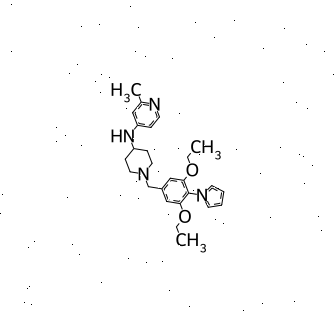 CCOc1cc(CN2CCC(Nc3ccnc(C)c3)CC2)cc(OCC)c1-n1cccc1